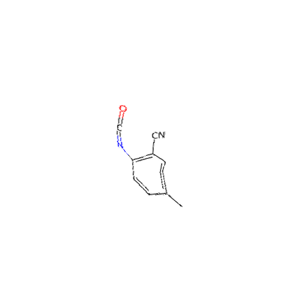 Cc1ccc(N=C=O)c(C#N)c1